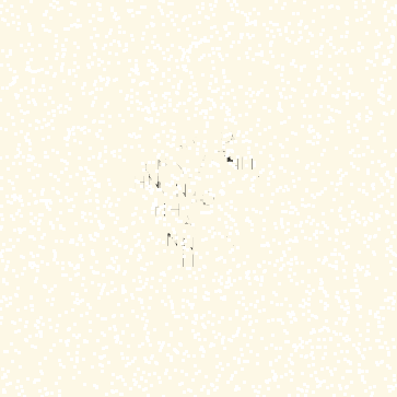 N=C(N)N(C(=O)c1cn[nH]c1C1CC1)c1cc(C(N)=O)ccc1Cl